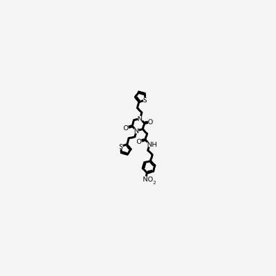 O=C(CC1C(=O)N(CCc2cccs2)CC(=O)N1CCc1cccs1)NCCc1ccc([N+](=O)[O-])cc1